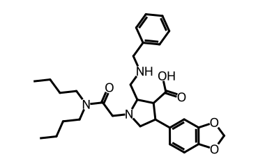 CCCCN(CCCC)C(=O)CN1CC(c2ccc3c(c2)OCO3)C(C(=O)O)C1CNCc1ccccc1